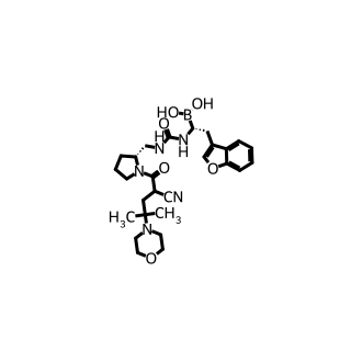 CC(C)(CC(C#N)C(=O)N1CCC[C@@H]1CNC(=O)N[C@@H](Cc1coc2ccccc12)B(O)O)N1CCOCC1